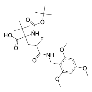 COc1cc(OC)c(CNC(=O)C(F)CC(NC(=O)OC(C)(C)C)(C(=O)O)C(C)(C)C)c(OC)c1